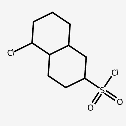 O=S(=O)(Cl)C1CCC2C(Cl)CCCC2C1